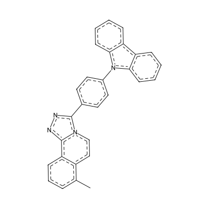 Cc1cccc2c1ccn1c(-c3ccc(-n4c5ccccc5c5ccccc54)cc3)nnc21